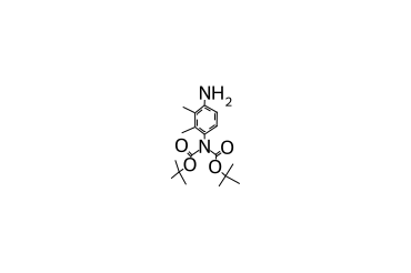 Cc1c(N)ccc(N(C(=O)OC(C)(C)C)C(=O)OC(C)(C)C)c1C